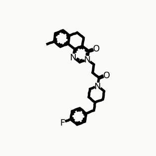 Cc1ccc2c(c1)-c1ncn(CCC(=O)N3CCC(Cc4ccc(F)cc4)CC3)c(=O)c1CC2